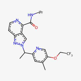 Cc1cc(C(C)n2cc3c(C(=O)NC(C)C)nccc3n2)ncc1OCC(F)(F)F